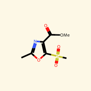 COC(=O)c1nc(C)oc1S(C)(=O)=O